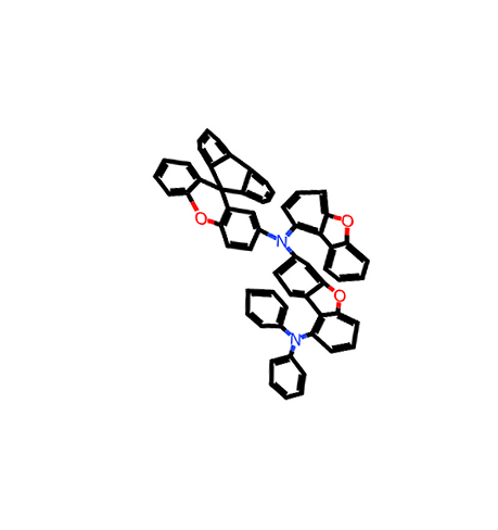 c1ccc(N(c2ccccc2)c2cccc3oc4cc(N(c5ccc6c(c5)C5(c7ccccc7O6)c6ccccc6-c6ccccc65)c5cccc6oc7ccccc7c56)ccc4c23)cc1